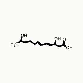 CC(O)CCCC=CC=CC(O)CC(=O)O